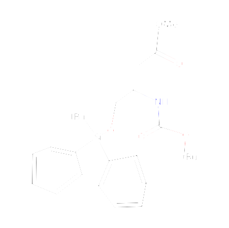 COC(=O)C[C@@H](CO[Si](c1ccccc1)(c1ccccc1)C(C)(C)C)NC(=O)OC(C)(C)C